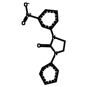 O=C1N(c2ccccc2)CCN1c1cccc([N+](=O)[O-])c1